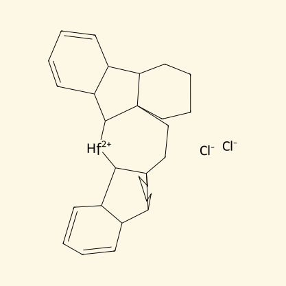 C1=CC2C(C=C1)[CH]1[Hf+2][CH]3C4C=CC=CC4C4CCCCC43CCC13CCCCC23.[Cl-].[Cl-]